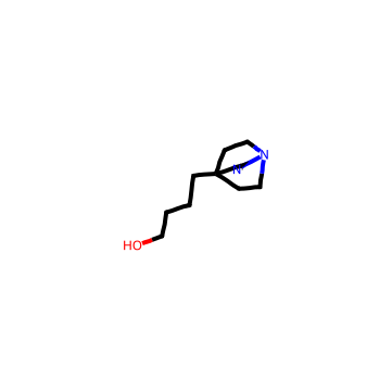 OCCCCC12CCN(CC1)[N]C2